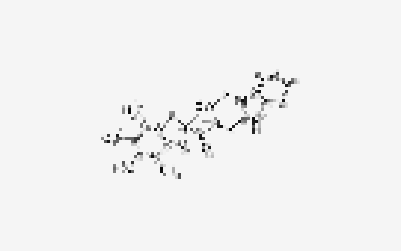 Cc1c(C)c([N+](=O)[O-])c(C)c2c1OC(C)(C(=O)N1CCc3c([nH]c4ccccc34)C1)C2